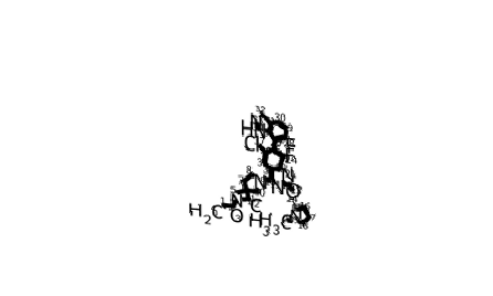 C=CC(=O)N1CC2(CCN(c3nc(OC[C@@H]4CCCN4C)nc4c(F)c(-c5c(F)ccc6cn[nH]c56)c(Cl)cc34)C2)C1C